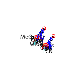 CCOc1ncccc1C1(NC(=O)N2CCN(C3CCN(C4COC4)CC3)CC2)C(=O)N(S(=O)(=O)c2ccc(OC)cc2OC)c2cc(F)c(C#N)cc21.CCOc1ncccc1[C@]1(NC(=O)N2CCN(C3CCN(C4COC4)CC3)CC2)C(=O)N(S(=O)(=O)c2ccc(OC)cc2OC)c2cc(F)c(C#N)cc21